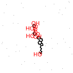 C[C@@H]1C2=CCC3C4CCC(CCCCC(C)(C)O)[C@@]4(C)CC[C@@]3(C)C2CC[C@@H]1O[C@@H]1O[C@H](CO[C@@H]2OC[C@@H](O)C[C@H]2O)C[C@H](O)[C@H]1O